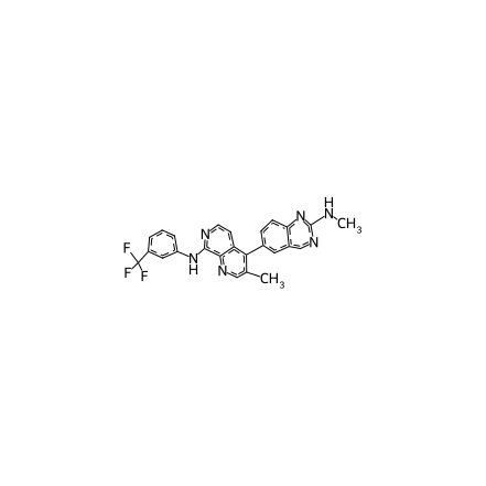 CNc1ncc2cc(-c3c(C)cnc4c(Nc5cccc(C(F)(F)F)c5)nccc34)ccc2n1